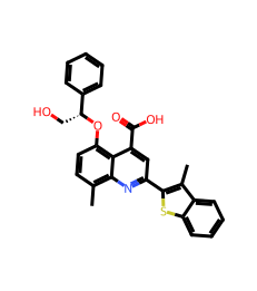 Cc1c(-c2cc(C(=O)O)c3c(O[C@H](CO)c4ccccc4)ccc(C)c3n2)sc2ccccc12